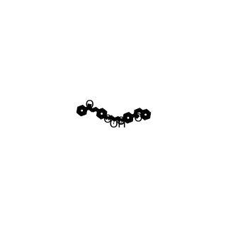 O=C(/C=C\c1ccccc1)c1ccc(OC[C@H](O)COc2ccc(/C=C/C(=O)c3ccccc3)cc2)cc1